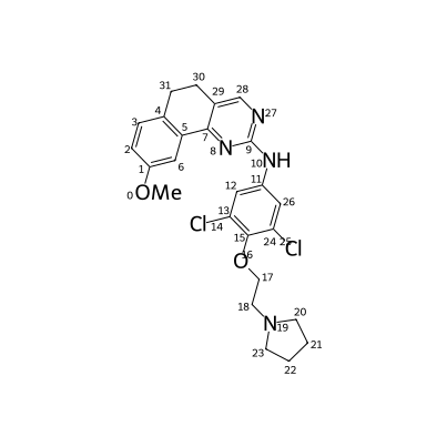 COc1ccc2c(c1)-c1nc(Nc3cc(Cl)c(OCCN4CCCC4)c(Cl)c3)ncc1CC2